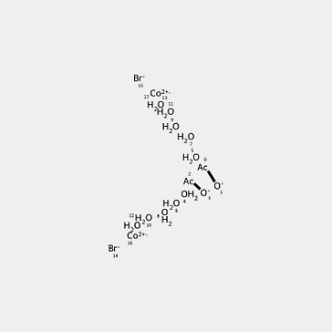 CC(=O)[O-].CC(=O)[O-].O.O.O.O.O.O.O.O.O.O.[Br-].[Br-].[Co+2].[Co+2]